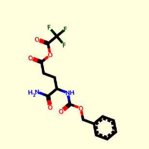 NC(=O)C(CCC(=O)OC(=O)C(F)(F)F)NC(=O)OCc1ccccc1